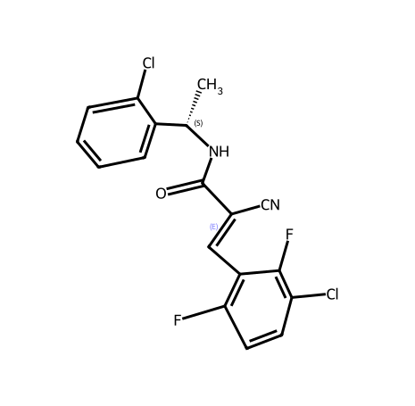 C[C@H](NC(=O)/C(C#N)=C/c1c(F)ccc(Cl)c1F)c1ccccc1Cl